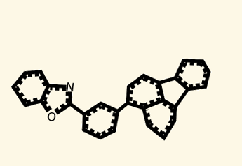 c1cc(-c2nc3ccccc3o2)cc(-c2ccc3c4c(cccc24)-c2ccccc2-3)c1